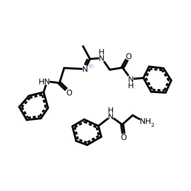 C/C(=N\CC(=O)Nc1ccccc1)NCC(=O)Nc1ccccc1.NCC(=O)Nc1ccccc1